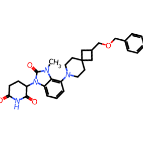 Cn1c(=O)n(C2CCC(=O)NC2=O)c2cccc(N3CCC4(CC3)CC(COCc3ccccc3)C4)c21